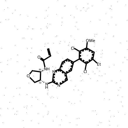 C=CC(=O)N[C@H]1COC[C@H]1Nc1ncc2cc(-c3c(Cl)c(CC)cc(OC)c3Cl)ccc2n1